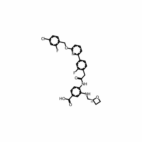 O=C(Cc1ccc(-c2cccc(OCc3ccc(Cl)cc3F)n2)cc1F)Nc1ccc(C(=O)O)cc1NC[C@@H]1CCO1